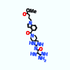 COC(=O)CCCn1ccc2c(C(=O)N3CCC4(CC3)CN/C(=N\C(=O)C(=N)C(=N)N)N4)cccc21